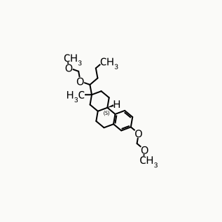 CCCC(OCOC)C1(C)CC[C@@H]2c3ccc(OCOC)cc3CCC2C1